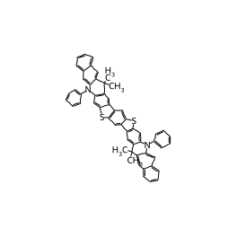 CC1(C)c2cc3ccccc3cc2N(c2ccccc2)c2cc3sc4cc5c(cc4c3cc21)sc1cc2c(cc15)C(C)(C)c1cc3ccccc3cc1N2c1ccccc1